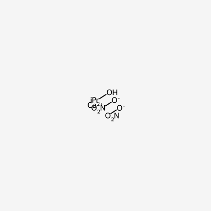 CC(C)O.O=[N+]([O-])[O-].O=[N+]([O-])[O-].[Ca+2]